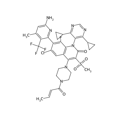 C/C=C/C(=O)N1CCN(c2c(S(C)(=O)=O)c(=O)n(-c3c(C4CC4)ncnc3C3CC3)c3c(F)c(-c4nc(N)cc(C)c4C(F)(F)F)c(Cl)cc23)CC1